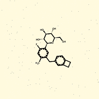 Cc1cc(F)c([C@@H]2O[C@H](CO)[C@@H](O)[C@H](O)[C@H]2O)cc1Cc1ccc2c(c1)CC2